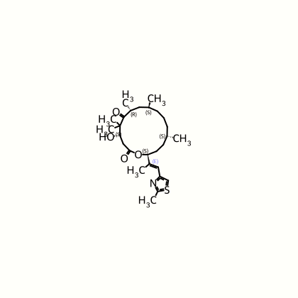 C/C(=C\c1csc(C)n1)[C@@H]1CC[C@@H](C)CCC[C@H](C)C[C@@H](C)C(=O)C(C)(C)[C@@H](O)CC(=O)O1